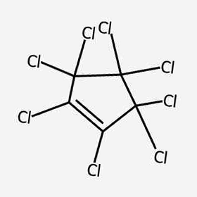 ClC1=C(Cl)C(Cl)(Cl)C(Cl)(Cl)C1(Cl)Cl